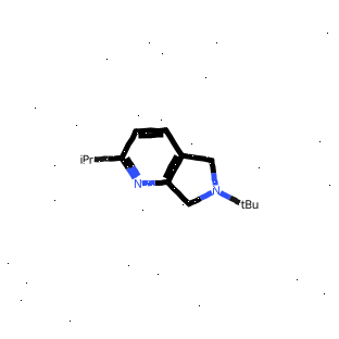 CC(C)c1ccc2c(n1)CN(C(C)(C)C)C2